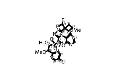 COc1ncnc(OC)c1-n1c(NS(=O)(=O)[C@@H](C)[C@H](OC)c2ncc(Cl)cn2)nnc1C1(C(F)F)CCC1